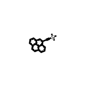 C[Si](C)(C)C#Cc1cc2cccc3ccc4cccc1c4c32